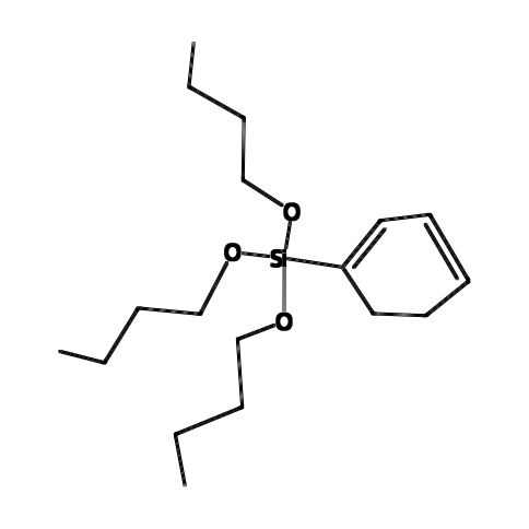 CCCCO[Si](OCCCC)(OCCCC)C1=CC=CCC1